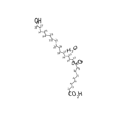 O.O=C(O)CCCCCCCCC(=O)OCCCCCCCCCCCCCCCCO